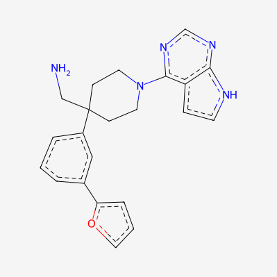 NCC1(c2cccc(-c3ccco3)c2)CCN(c2ncnc3[nH]ccc23)CC1